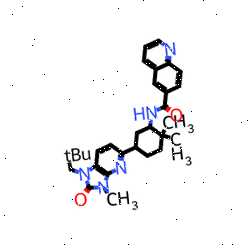 Cn1c(=O)n(CC(C)(C)C)c2ccc(C3CCC(C)(C)C(NC(=O)c4ccc5ncccc5c4)C3)nc21